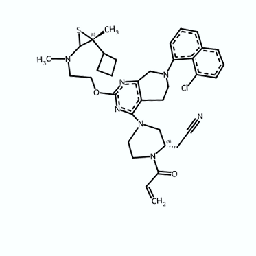 C=CC(=O)N1CCN(c2nc(OCCN(C)C3S[C@]3(C)C3CCC3)nc3c2CCN(c2cccc4cccc(Cl)c24)C3)C[C@@H]1CC#N